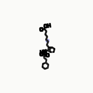 O=C(O)CCC/C=C/CC1C2CCC(C2)C1NS(=O)(=O)CCC1CCCCC1